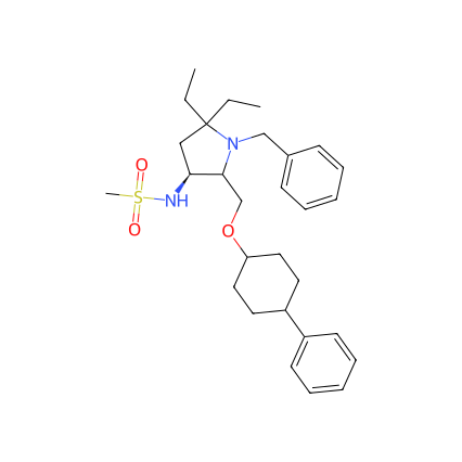 CCC1(CC)C[C@H](NS(C)(=O)=O)C(COC2CCC(c3ccccc3)CC2)N1Cc1ccccc1